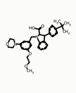 COCCOc1cc(CN2c3ccccc3C(c3ccc(C(C)(C)C)cc3)C2C(=O)O)cc(N2CCOCC2)c1